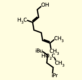 CC(=O)O.CC(C)=CCCC(C)=CCO.CCC(C)CCCC(C)C